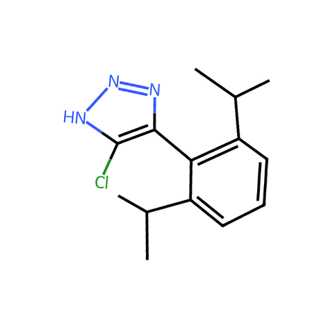 CC(C)c1cccc(C(C)C)c1-c1nn[nH]c1Cl